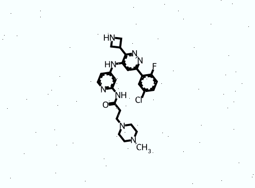 CN1CCN(CCC(=O)Nc2cc(Nc3cc(-c4cc(Cl)ccc4F)nnc3C3CNC3)ccn2)CC1